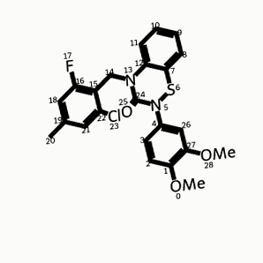 COc1ccc(N2Sc3ccccc3N(Cc3c(F)cc(C)cc3Cl)C2=O)cc1OC